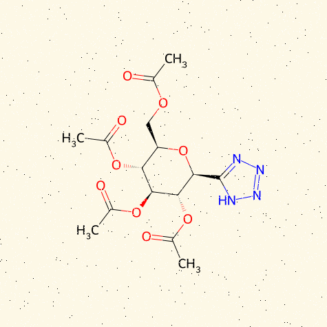 CC(=O)OC[C@H]1O[C@@H](c2nnn[nH]2)[C@H](OC(C)=O)[C@@H](OC(C)=O)[C@@H]1OC(C)=O